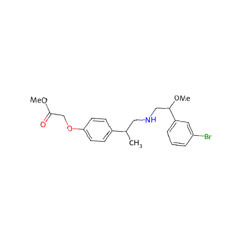 COC(=O)COc1ccc(C(C)CNCC(OC)c2cccc(Br)c2)cc1